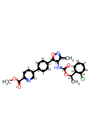 COC(=O)c1ccc(-c2ccc(-c3onc(C)c3NC(=O)OC(C)c3ccccc3Cl)cc2)cn1